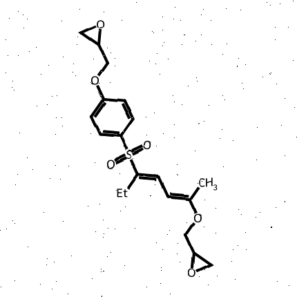 CC/C(=C\C=C(/C)OCC1CO1)S(=O)(=O)c1ccc(OCC2CO2)cc1